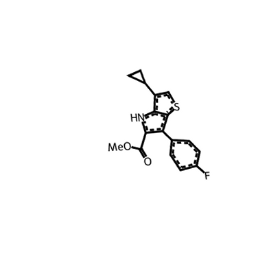 COC(=O)c1[nH]c2c(C3CC3)csc2c1-c1ccc(F)cc1